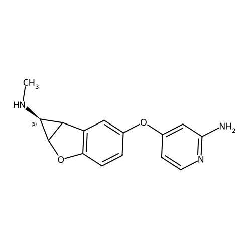 CN[C@@H]1C2Oc3ccc(Oc4ccnc(N)c4)cc3C21